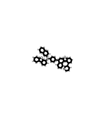 c1cncc(-c2cccc3oc4cc(-c5ccc(N(c6ccc7ccccc7c6)c6cccc7c6oc6ccccc67)cc5)c5ccccc5c4c23)c1